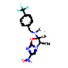 CC1n2cc([N+](=O)[O-])nc2OC1(C)N(C)Cc1ccc(C(F)(F)F)cc1